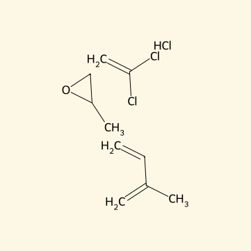 C=C(Cl)Cl.C=CC(=C)C.CC1CO1.Cl